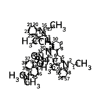 CCCN1/C(=C/C=C2\CCCC(/C=C/C3=[N+](CCC)c4ccccc4C3(C)C)=C2N2CCN(S(=O)(=O)c3cccc4c(N(C)C)cccc34)CC2)C(C)(C)c2ccccc21